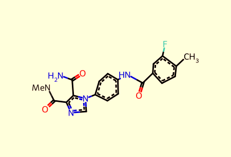 CNC(=O)c1ncn(-c2ccc(NC(=O)c3ccc(C)c(F)c3)cc2)c1C(N)=O